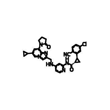 N#Cc1ccc(Cl)cc1[C@H]1C[C@@H]1C(=O)Nc1cc(NCc2cn3cc(C4CC4)cc(N4CCCC4=O)c3n2)ccn1